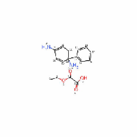 CCOC(=O)C(=O)O.NC1=CCC(N)(c2ccccc2)C=C1